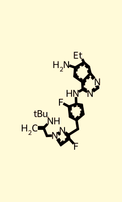 C=C(Cn1cc(F)c(Cc2ccc(Nc3ncnc4cc(CC)c(N)cc34)c(F)c2)n1)NC(C)(C)C